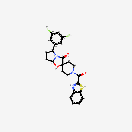 O=C(c1nc2ccccc2s1)N1CCC2(CC1)OC1CCC(c3cc(F)cc(F)c3)N1C2=O